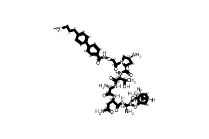 CCCCc1ccc(-c2ccc(C(=O)NCCC(=O)N3C[C@@H](N)C[C@H]3C(=O)N[C@H](C(=O)N[C@@H](N)C(=O)NC(CC(N)=O)C(=O)N[C@@H](N)B3OC4C[C@@H]5C[C@@H](C5(C)C)[C@]4(C)O3)[C@@H](C)O)cc2)cc1